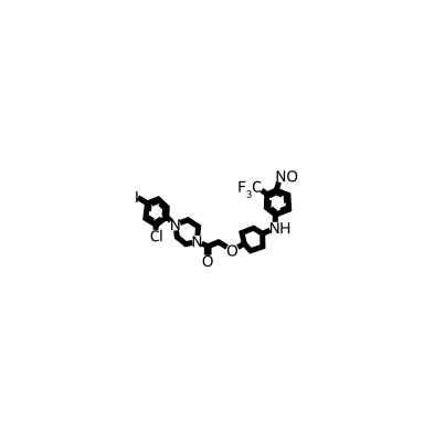 O=Nc1ccc(NC2CCC(OCC(=O)N3CCN(c4ccc(I)cc4Cl)CC3)CC2)cc1C(F)(F)F